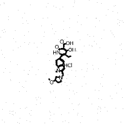 CCc1c(-c2ccc3c(c2)cc(CN2CCC(OC)C2)n3C)[nH]c(=O)c(C(=O)O)c1O.Cl